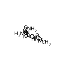 Cc1csc(NC(=O)C2CCC(n3cnc4c(N)nc(C(N)=O)nc43)CC2)n1